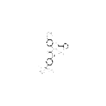 COc1ccc(C(C(=O)Nc2ccc(C(C)(C)C)cc2)N(C)C(=O)c2ccco2)cc1